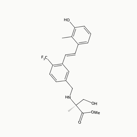 COC(=O)[C@](C)(CO)NCc1ccc(C(F)(F)F)c(/C=C/c2cccc(O)c2C)c1